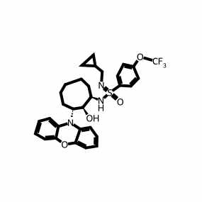 O=S(=NCC1CC1)(N[C@@H]1CCCCC[C@@H](N2c3ccccc3Oc3ccccc32)[C@@H]1O)c1ccc(OC(F)(F)F)cc1